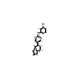 Fc1cccc(Oc2ncc(-c3ccc4ccnn4c3)cn2)c1